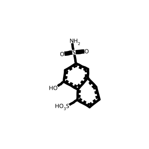 NS(=O)(=O)c1cc(O)c2c(S(=O)(=O)O)cccc2c1